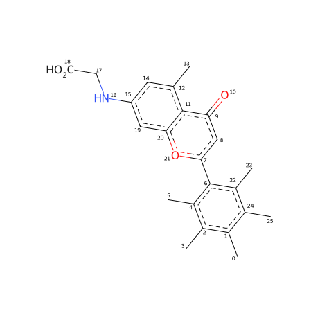 Cc1c(C)c(C)c(-c2cc(=O)c3c(C)cc(NCC(=O)O)cc3o2)c(C)c1C